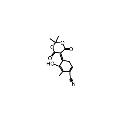 CC1=C(O)C(=C2C(=O)OC(C)(C)OC2=O)CC=C1C#N